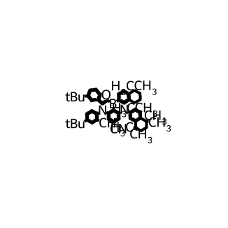 Cc1cc(C(C)(C)C)ccc1N1c2cc(C#N)cc3c2B(c2ccc4c(c2N3c2ccc3c(c2)C(C)(C)CCC3(C)C)C(C)(C)CCC4(C)C)c2oc3ccc(C(C)(C)C)cc3c21